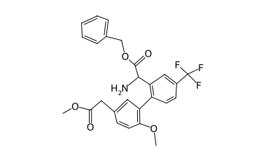 COC(=O)Cc1ccc(OC)c(-c2ccc(C(F)(F)F)cc2C(N)C(=O)OCc2ccccc2)c1